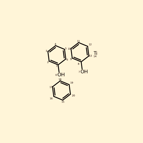 Oc1ccccc1.Oc1ccccc1.[Ti].c1ccccc1